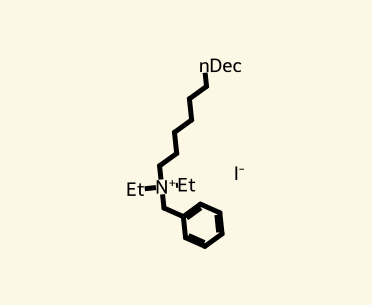 CCCCCCCCCCCCCCCC[N+](CC)(CC)Cc1ccccc1.[I-]